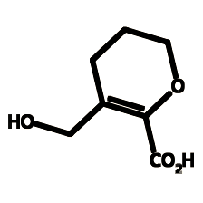 O=C(O)C1=C(CO)CCCO1